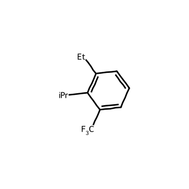 CCc1cccc(C(F)(F)F)c1C(C)C